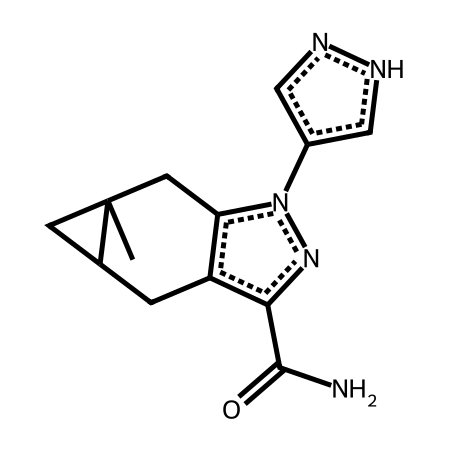 CC12Cc3c(c(C(N)=O)nn3-c3cn[nH]c3)CC1C2